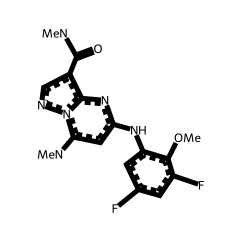 CNC(=O)c1cnn2c(NC)cc(Nc3cc(F)cc(F)c3OC)nc12